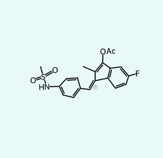 CC(=O)OC1=C(C)/C(=C\c2ccc(NS(C)(=O)=O)cc2)c2ccc(F)cc21